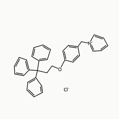 [Cl-].c1ccc(C(CCOc2ccc(C[n+]3ccccc3)cc2)(c2ccccc2)c2ccccc2)cc1